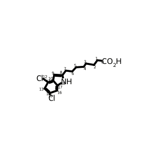 O=C(O)CCCCCCCc1cc2c(Cl)cc(Cl)cc2[nH]1